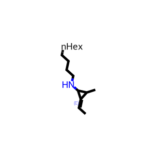 C/C=C1\C(C)C1NCCCCCCCCCC